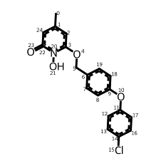 Cc1cc(OCc2ccc(Oc3ccc(Cl)cc3)cc2)n(O)c(=O)c1